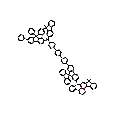 CC1(C)c2ccccc2-c2ccc(N(c3ccc(-c4ccc(-c5ccc(-c6ccc7c(c6)C6(c8ccccc8-c8ccccc86)c6cc(N(c8ccc9c(c8)C(C)(C)c8ccccc8-9)c8ccccc8-c8ccccc8)ccc6-7)cc5)cc4)cc3)c3ccc4c(c3)C3(c5ccccc5-c5ccccc53)c3cc(-c5ccccc5)ccc3-4)cc21